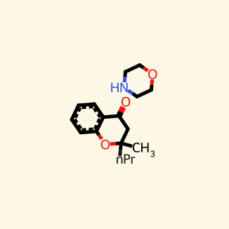 C1COCCN1.CCCC1(C)CC(=O)c2ccccc2O1